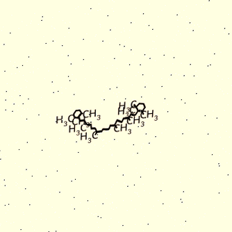 CC1=C(/C=C/C(C)=C/C=C/C(C)=C\C=C\C=C(C)\C=C\C=C(C)\C=C\C2=C(C)CCCC2(C)C)C(C)(C)CCC1